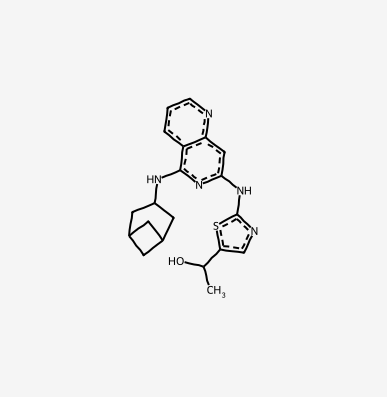 CC(O)c1cnc(Nc2cc3ncccc3c(NC3CC4CC(C4)C3)n2)s1